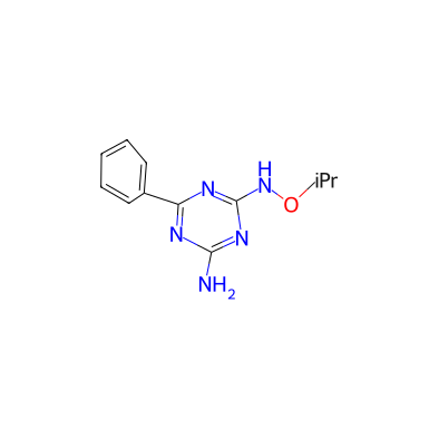 CC(C)ONc1nc(N)nc(-c2ccccc2)n1